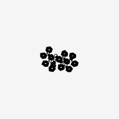 c1ccc(N(c2ccccc2)c2cc3c4c(c2)N(c2ccccc2)c2c(sc5ccccc25)B4c2cc4c(cc2O3)N(c2ccccc2)c2cc(N(c3ccccc3)c3ccccc3)cc3c2B4c2ccccc2N3c2ccccc2)cc1